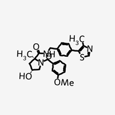 COc1cccc(C(=O)N2C[C@H](O)C[C@@]2(C)C(=O)NCc2ccc(-c3scnc3C)cc2)c1